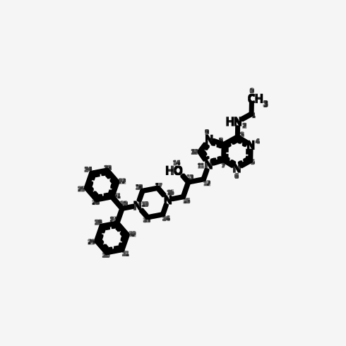 CCNc1ncnc2c1ncn2CC(O)CN1CCN(C(c2ccccc2)c2ccccc2)CC1